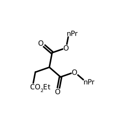 CCCOC(=O)C(CC(=O)OCC)C(=O)OCCC